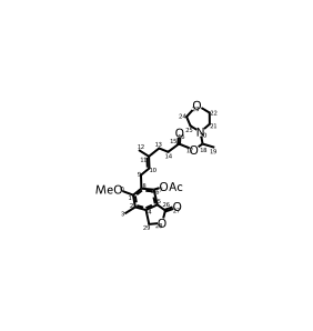 COc1c(C)c2c(c(OC(C)=O)c1C/C=C(\C)CCC(=O)OC(C)N1CCOCC1)C(=O)OC2